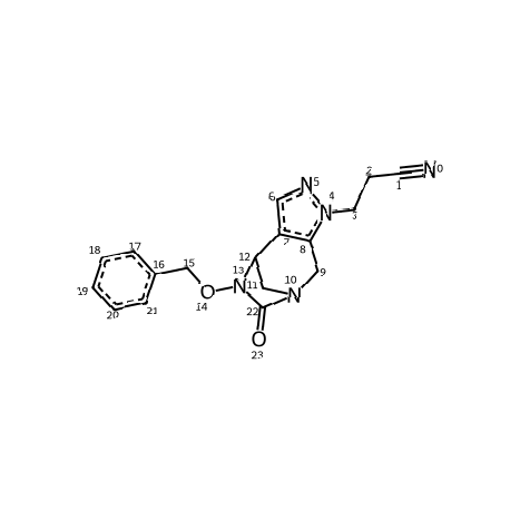 N#CCCn1ncc2c1CN1CC2N(OCc2ccccc2)C1=O